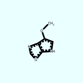 COc1c[nH]c2ocnc12